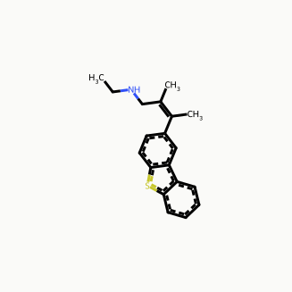 CCNCC(C)=C(C)c1ccc2sc3ccccc3c2c1